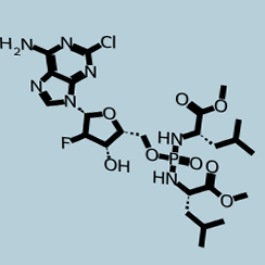 COC(=O)[C@H](CC(C)C)NP(=O)(N[C@@H](CC(C)C)C(=O)OC)OC[C@H]1O[C@@H](n2cnc3c(N)nc(Cl)nc32)C(F)[C@H]1O